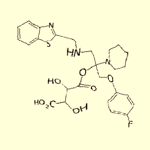 O=C(O)C(O)C(O)C(=O)OC(CNCc1nc2ccccc2s1)(COc1ccc(F)cc1)N1CCCCC1